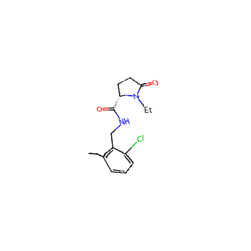 CCN1C(=O)CC[C@H]1C(=O)NCc1c(C)cccc1Cl